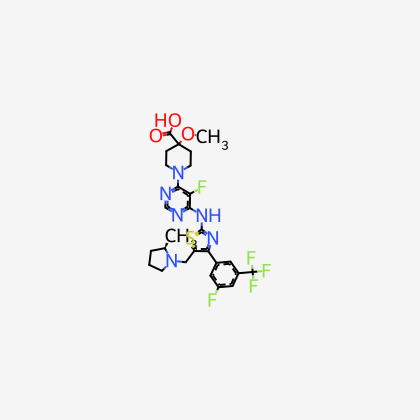 COC1(C(=O)O)CCN(c2ncnc(Nc3nc(-c4cc(F)cc(C(F)(F)F)c4)c(CN4CCC[C@H]4C)s3)c2F)CC1